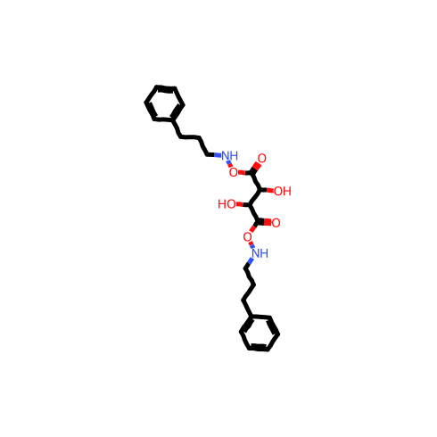 O=C(ONCCCc1ccccc1)C(O)C(O)C(=O)ONCCCc1ccccc1